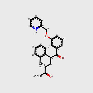 COC(=O)CCC(C(=O)c1cccc(OCc2ccccn2)c1)c1ccccc1C